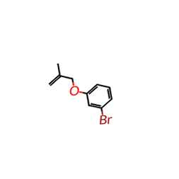 C=C(C)COc1cccc(Br)c1